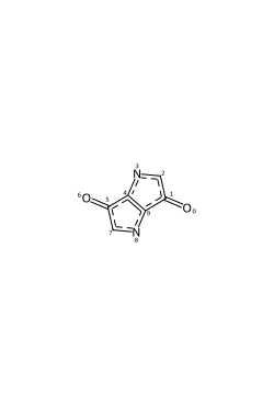 O=c1cnc2c(=O)cnc1=2